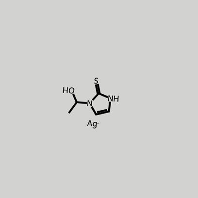 CC(O)n1cc[nH]c1=S.[Ag]